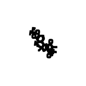 CN1C(=O)C23C[C@](C)(C#N)C(c4ccc5c(c4)OC(F)(F)O5)N2C(=O)C1(C)S3=S